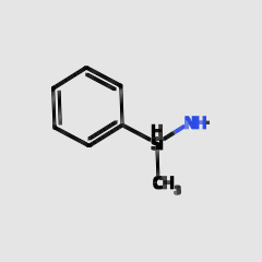 C[SiH]([NH])c1ccccc1